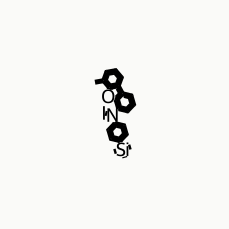 Cc1cccc2c1oc1c(N(I)c3ccc([Si](C)(C)C)cc3)cccc12